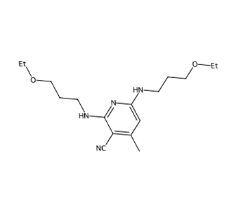 CCOCCCNc1cc(C)c(C#N)c(NCCCOCC)n1